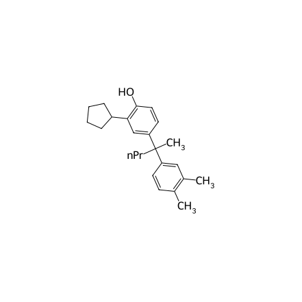 CCCC(C)(c1ccc(C)c(C)c1)c1ccc(O)c(C2CCCC2)c1